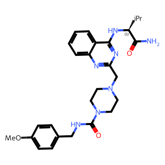 COc1ccc(CNC(=O)N2CCN(Cc3nc(N[C@H](C(N)=O)C(C)C)c4ccccc4n3)CC2)cc1